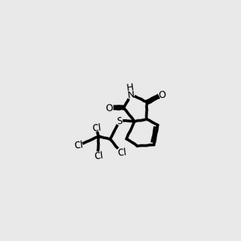 O=C1NC(=O)C2(SC(Cl)C(Cl)(Cl)Cl)CCC=CC12